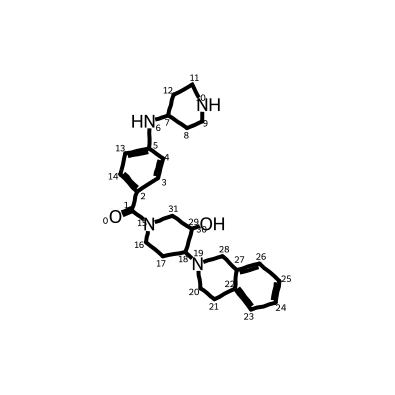 O=C(c1ccc(NC2CCNCC2)cc1)N1CCC(N2CCc3ccccc3C2)C(O)C1